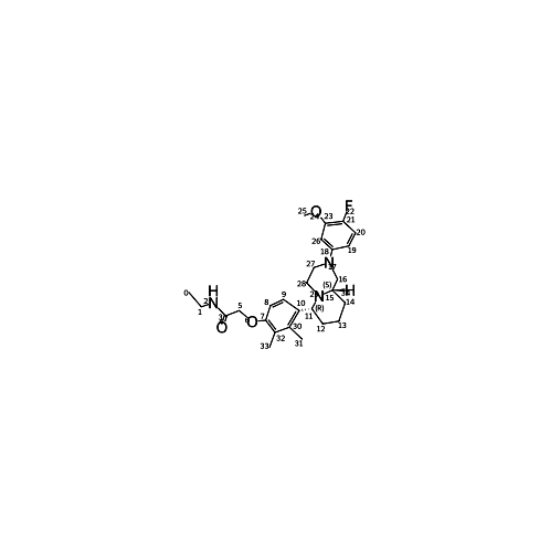 CCNC(=O)COc1ccc([C@H]2CCC[C@H]3CN(c4ccc(F)c(OC)c4)CCN32)c(C)c1C